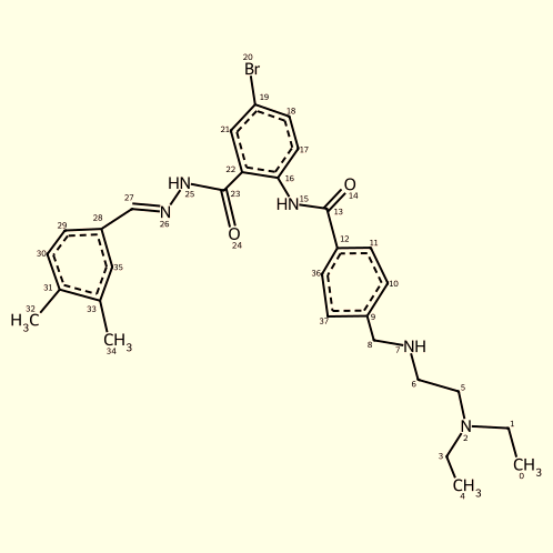 CCN(CC)CCNCc1ccc(C(=O)Nc2ccc(Br)cc2C(=O)NN=Cc2ccc(C)c(C)c2)cc1